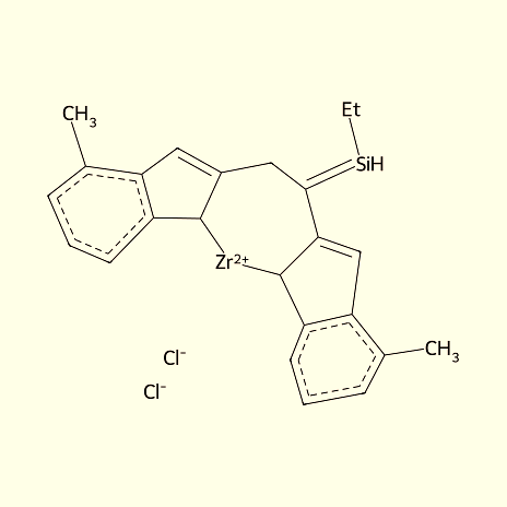 CC[SiH]=C1CC2=Cc3c(C)cccc3[CH]2[Zr+2][CH]2C1=Cc1c(C)cccc12.[Cl-].[Cl-]